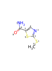 CSc1ncc(C(N)=O)s1